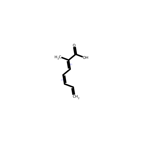 C=C/C=C\C=C(/C)C(=O)O